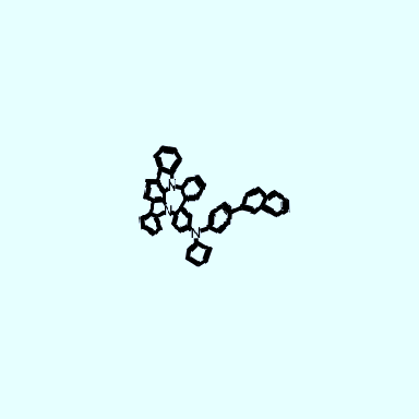 c1ccc(N(c2ccc(-c3ccc4ccccc4c3)cc2)c2ccc3c(c2)c2ccccc2n2c4ccccc4c4ccc5c6ccccc6n3c5c42)cc1